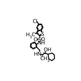 Cc1c(S(=O)(=O)Nc2ccccc2CN[C@@H](C)[C@@H](O)C2CCCCC2)sc2ccc(Cl)cc12